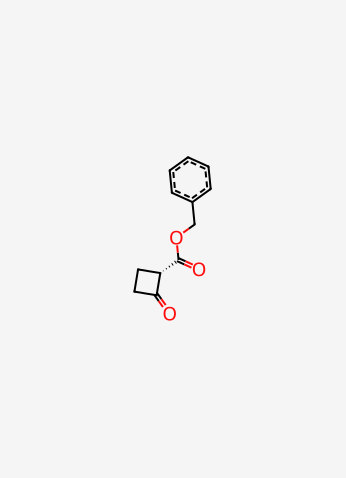 O=C1CC[C@@H]1C(=O)OCc1ccccc1